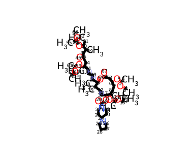 CCOC(C)OC1CCC(C)(OC(C)OCC)C(OC(=O)N2CCC(N3CCCC3)CC2)/C=C/C(C)C(/C(C)=C/C=C/C(C)(CC2OC2C(C)C(CC)OC(C)OCC)OC(C)OCC)OC(=O)C1